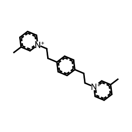 Cc1ccc[n+](CCc2ccc(CC[n+]3cccc(C)c3)cc2)c1